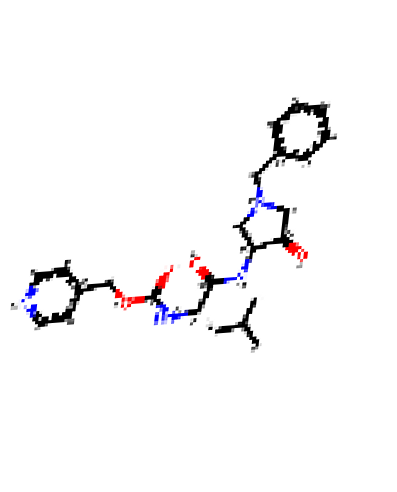 CC(C)C[C@H](NC(=O)OCc1ccncc1)C(=O)NC1CN(Cc2ccccc2)CC1=O